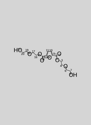 O=C(OCCOCCO)c1ccc(C(=O)OCCOCCO)o1